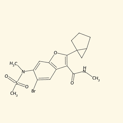 CNC(=O)c1c(C23CCCC2C3)oc2cc(N(C)S(C)(=O)=O)c(Br)cc12